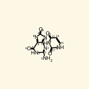 Nc1nc2c(c(=O)[nH]1)=NC(=O)N=2.O=c1cc[nH]c(=O)[nH]1